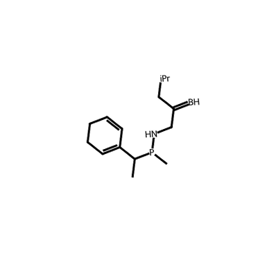 B=C(CNP(C)C(C)C1=CCCC=C1)CC(C)C